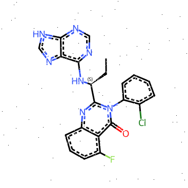 CC[C@H](Nc1ncnc2[nH]cnc12)c1nc2cccc(F)c2c(=O)n1-c1ccccc1Cl